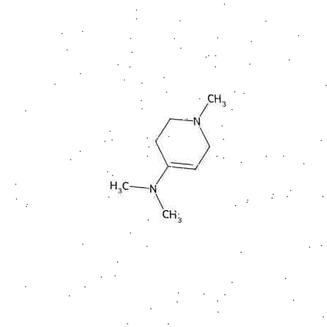 CN1CC=C(N(C)C)CC1